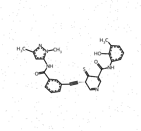 Cc1cc(NC(=O)c2cccc(C#C[C@H]3C=NC=C(C(=O)Nc4cccc(C)c4O)C3=S)c2)n(C)n1